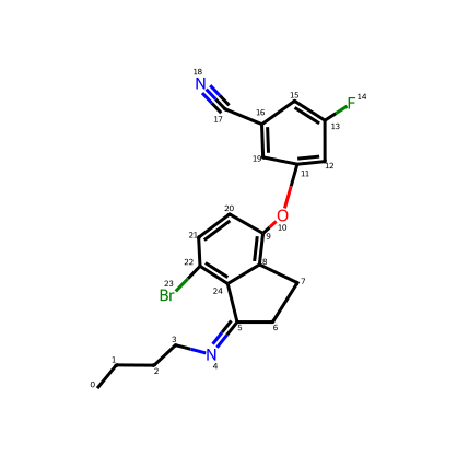 CCCC/N=C1/CCc2c(Oc3cc(F)cc(C#N)c3)ccc(Br)c21